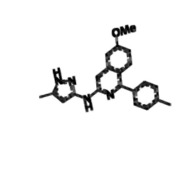 COc1ccc2c(-c3ccc(C)cc3)nc(Nc3cc(C)[nH]n3)cc2c1